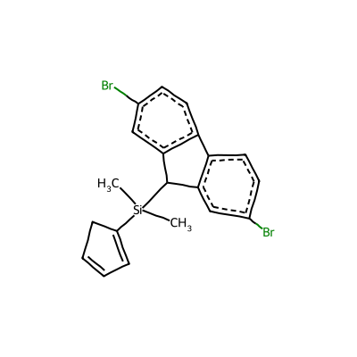 C[Si](C)(C1=CC=CC1)C1c2cc(Br)ccc2-c2ccc(Br)cc21